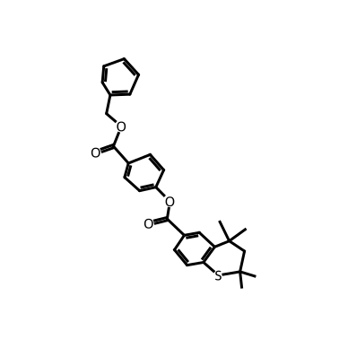 CC1(C)CC(C)(C)c2cc(C(=O)Oc3ccc(C(=O)OCc4ccccc4)cc3)ccc2S1